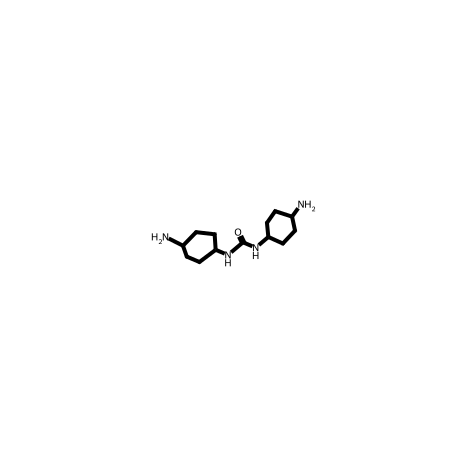 NC1CCC(NC(=O)NC2CCC(N)CC2)CC1